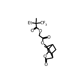 CCC(C)(C(=O)OCC(=O)OC1C2OC(=O)C3C2CC1C3(C)C)C(F)(F)F